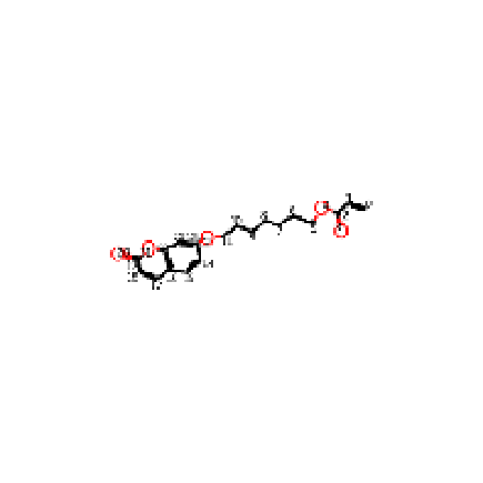 C=CC(=O)OCCCCCCCOc1ccc2ccc(=O)oc2c1